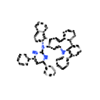 C1=C(c2ccccc2)NC(n2c3cc4c(cc3c3c5ccccc5ccc32)-c2ccccc2-c2cccc3c5ccccc5n-4c23)NC1c1ccccc1